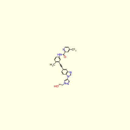 Cc1ccc(NC(=O)c2cc(C(F)(F)F)ccn2)cc1C#Cc1ccc2c(c1)ncn2-c1cnn(CCO)c1